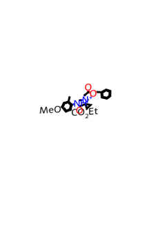 CCOC(=O)c1cc(OC)cc(C)c1NC(=O)C1([N+](C)(C)CC(=O)OCc2ccccc2)CC1